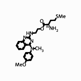 COc1ccc(N(C)c2nc(NCCOC(=O)[C@@H](N)CCSC)nc3ccccc23)cc1